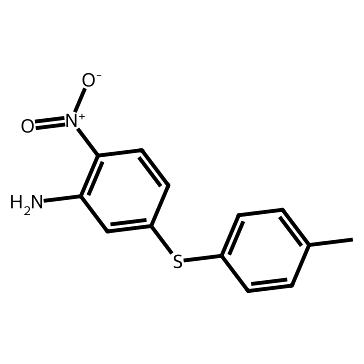 Cc1ccc(Sc2ccc([N+](=O)[O-])c(N)c2)cc1